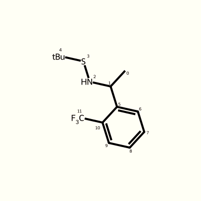 CC(NSC(C)(C)C)c1ccccc1C(F)(F)F